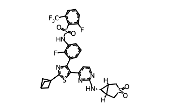 O=S1(=O)C[C@@H]2[C@H](C1)[C@@H]2Nc1nccc(-c2sc(C34CC(C3)C4)nc2-c2cccc(NS(=O)(=O)c3c(F)cccc3C(F)(F)F)c2F)n1